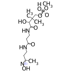 COP(=O)(O)OCC(C)(C)C(O)C(=O)NCCC(=O)NCC/C(C)=N/O